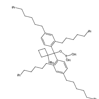 CCCCC1(C(OP(O)O)(c2ccc(CCCCCC(C)C)cc2CCCCCC(C)C)c2ccc(CCCCCC(C)C)cc2CCCCCC(C)C)CCC1